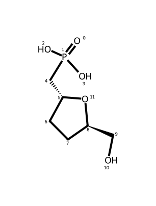 O=P(O)(O)C[C@H]1CC[C@H](CO)O1